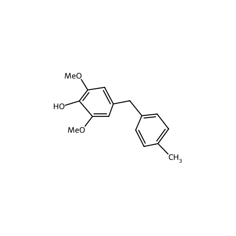 COc1cc(Cc2ccc(C)cc2)cc(OC)c1O